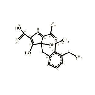 CCc1cccc(CC2(O)C(C(=O)O)=NC(C(=O)O)=C2O)c1CC